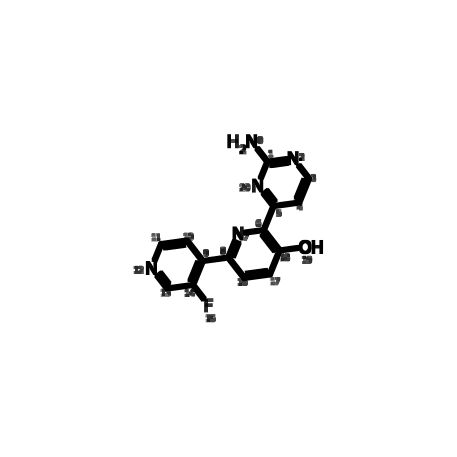 Nc1nccc(-c2nc(-c3ccncc3F)ccc2O)n1